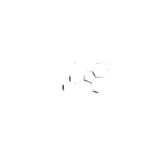 Cl.O=C(O)C(=O)Nc1sc2c(c1C(=O)O)CCNC2